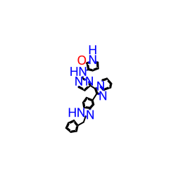 O=c1[nH]cccc1Nc1nccc(-c2c(-c3ccc4[nH]c(Cc5ccccc5)nc4c3)nc3ccccn23)n1